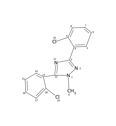 Cn1nc(-c2ccccc2Cl)nc1-c1ccccc1Cl